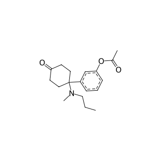 CCCN(C)C1(c2cccc(OC(C)=O)c2)CCC(=O)CC1